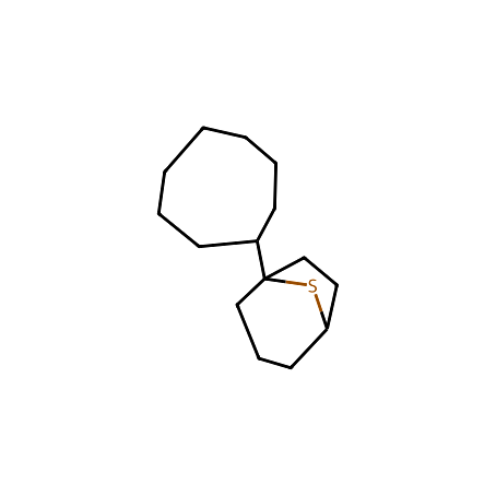 C1CCCC(C23CCCC(CC2)S3)CCC1